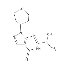 CC(O)c1nc2c(cnn2C2CCOCC2)c(=O)[nH]1